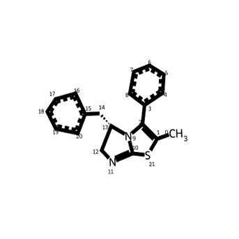 CC1=C(c2ccccc2)N2C(=NC[C@@H]2Cc2ccccc2)S1